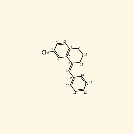 Clc1ccc2c(c1)C(=Cc1cccnc1)CCC2